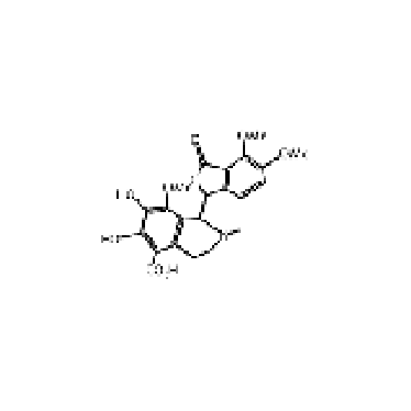 COc1ccc2c(c1OC)C(=O)OC2C1c2c(c(C(=O)O)c(O)c(O)c2OC)CCN1C